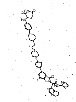 O=C1CCC(Nc2ccc(C3CCC(CCN4CCN(c5ccc(-c6cc(F)c7c(c6)C(=O)N(C(C(=O)Nc6nccs6)c6ncn8c6CCC8)C7)cc5)CC4)CC3)cc2)C(=O)N1